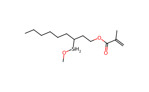 C=C(C)C(=O)OCCC(CCCCCC)[SiH2]OC